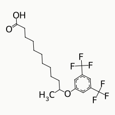 CC(CCCCCCCCCC(=O)O)Oc1cc(C(F)(F)F)cc(C(F)(F)F)c1